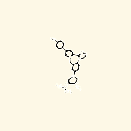 C[C@H]1CN(c2ccc3c(c2)Cn2cc(-c4ccc(C#N)cc4)cc2-c2nncn2-3)C[C@@H]1N(C)C